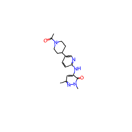 CC(=O)N1CCC(c2ccc(Nc3cc(C)nn(C)c3=O)nc2)CC1